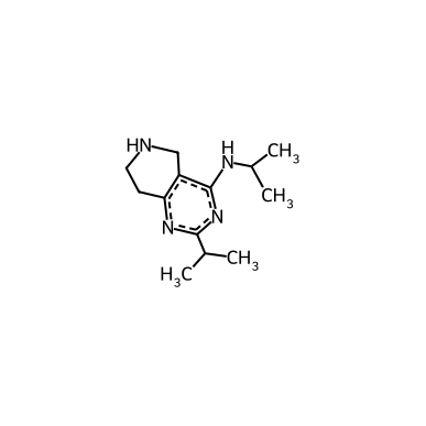 CC(C)Nc1nc(C(C)C)nc2c1CNCC2